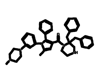 Cc1cc(C(=O)N2CCNCC2(Cc2ccccc2)Cc2ccccc2)c(-c2ccccc2)n1-c1cccc(N2CCN(C)CC2)c1